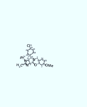 COc1ccc(CN2C(=O)c3nc(C)n(C(C)C)c3C2c2ccc(Cl)cc2)cc1